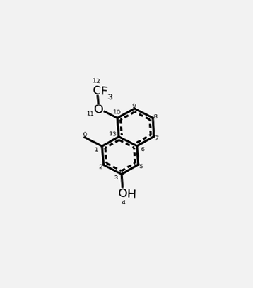 Cc1cc(O)cc2cccc(OC(F)(F)F)c12